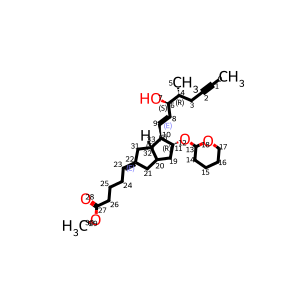 CC#CC[C@@H](C)[C@H](O)/C=C/[C@H]1[C@H](OC2CCCCO2)CC2C/C(=C\CCCC(=O)OC)C[C@@H]21